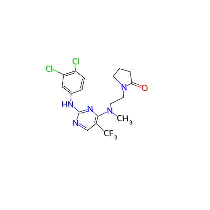 CN(CCN1CCCC1=O)c1nc(Nc2ccc(Cl)c(Cl)c2)ncc1C(F)(F)F